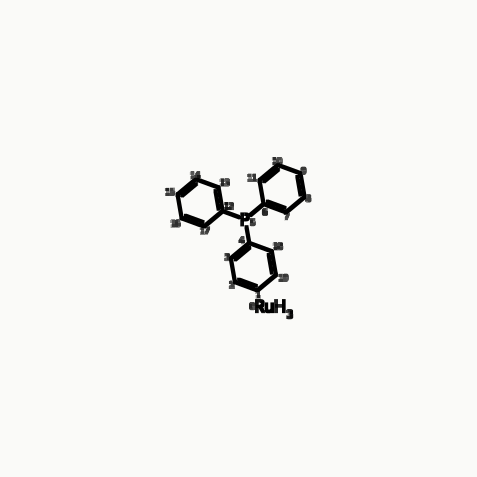 [RuH3].c1ccc(P(c2ccccc2)c2ccccc2)cc1